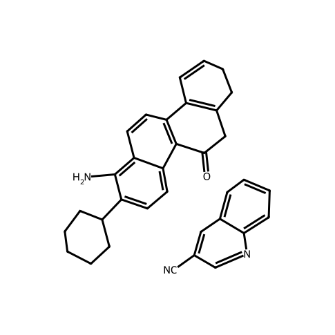 N#Cc1cnc2ccccc2c1.Nc1c(C2CCCCC2)ccc2c3c(ccc12)C1=C(CCC=C1)CC3=O